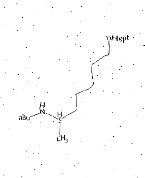 CCCCCCCCCCCC[SH](C)NCCCC